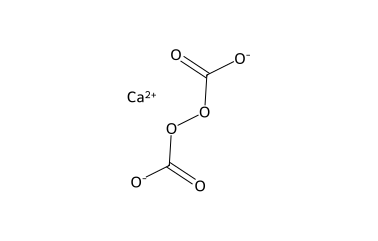 O=C([O-])OOC(=O)[O-].[Ca+2]